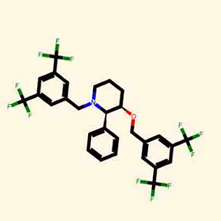 FC(F)(F)c1cc(CO[C@@H]2CCCN(Cc3cc(C(F)(F)F)cc(C(F)(F)F)c3)[C@@H]2c2ccccc2)cc(C(F)(F)F)c1